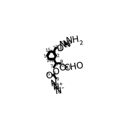 [N-]=[N+]=NCC(=O)OCC(COC=O)c1cccc(CON=NN)c1